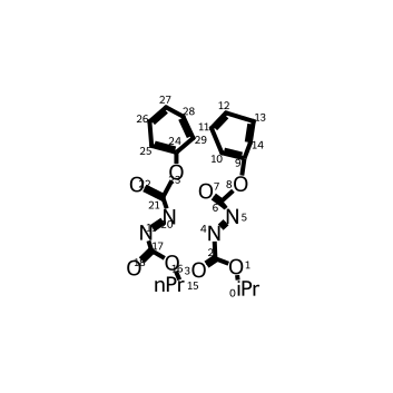 CC(C)OC(=O)N=NC(=O)Oc1ccccc1.CCCOC(=O)N=NC(=O)Oc1ccccc1